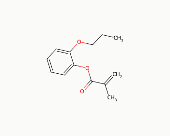 C=C(C)C(=O)Oc1c[c]ccc1OCCC